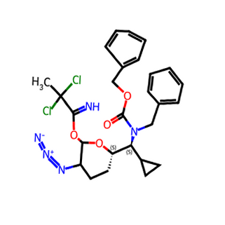 CC(Cl)(Cl)C(=N)OC1O[C@H]([C@H](C2CC2)N(Cc2ccccc2)C(=O)OCc2ccccc2)CCC1N=[N+]=[N-]